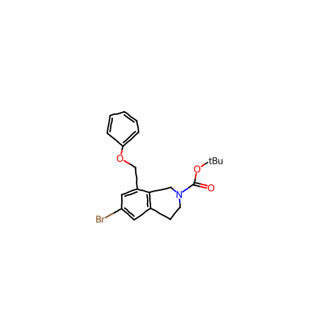 CC(C)(C)OC(=O)N1CCc2cc(Br)cc(COc3ccccc3)c2C1